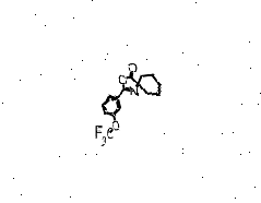 O=C1OC(c2cccc(OC(F)(F)F)c2)=NC12CCCCC2